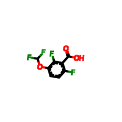 O=C(O)c1c(F)ccc(OC(F)F)c1F